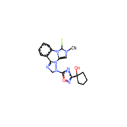 N#CN1C=C2N(c3ccccc3C3=NCN(c4nc(C5(O)CCCC5)no4)N23)C1F